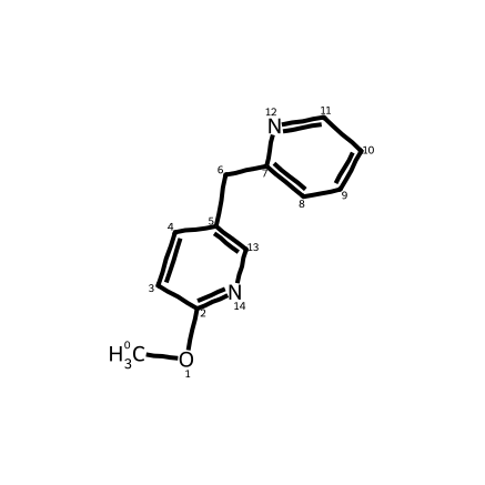 COc1ccc(Cc2ccccn2)cn1